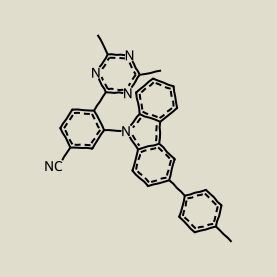 Cc1ccc(-c2ccc3c(c2)c2ccccc2n3-c2cc(C#N)ccc2-c2nc(C)nc(C)n2)cc1